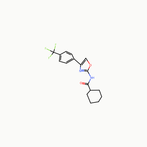 O=C(Nc1nc(-c2ccc(C(F)(F)F)cc2)co1)C1CCCCC1